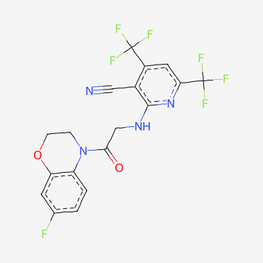 N#Cc1c(C(F)(F)F)cc(C(F)(F)F)nc1NCC(=O)N1CCOc2cc(F)ccc21